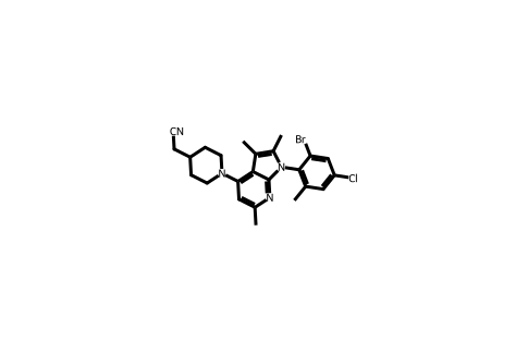 Cc1cc(N2CCC(CC#N)CC2)c2c(C)c(C)n(-c3c(C)cc(Cl)cc3Br)c2n1